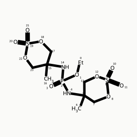 CCOP(=O)(NC1(C)COS(=O)(=O)OC1)NC1(C)COS(=O)(=O)OC1